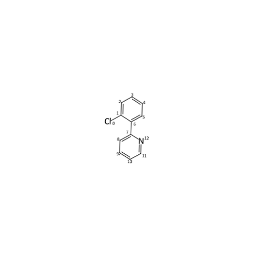 Clc1ccccc1-c1c[c]ccn1